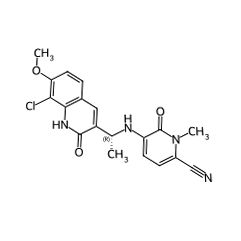 COc1ccc2cc([C@@H](C)Nc3ccc(C#N)n(C)c3=O)c(=O)[nH]c2c1Cl